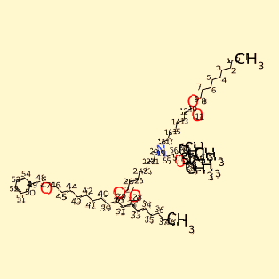 CCCCCCCCCOC(=O)CCCCCCCN(CCCCCCCC(=O)OC(CCCCCCCC)CCCCCCCCOCc1ccccc1)CCO[Si](C)(C)C(C)(C)C